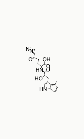 Cc1cccc2[nH]cc(CC(O)C(=O)NC(CCC(=O)C=[N+]=[N-])C(=O)O)c12